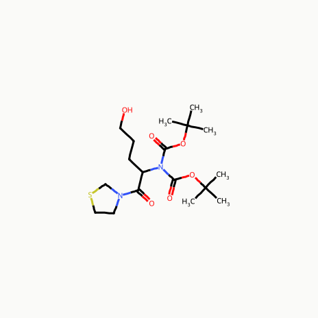 CC(C)(C)OC(=O)N(C(=O)OC(C)(C)C)C(CCCO)C(=O)N1CCSC1